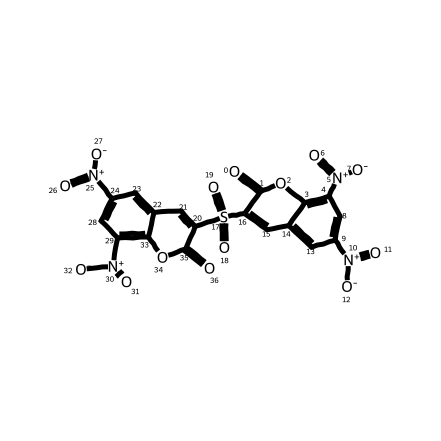 O=c1oc2c([N+](=O)[O-])cc([N+](=O)[O-])cc2cc1S(=O)(=O)c1cc2cc([N+](=O)[O-])cc([N+](=O)[O-])c2oc1=O